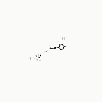 Cc1c(Cl)ccc(C#CC(C)(C)OCC(=O)OCC[Si](C)(C)C)c1F